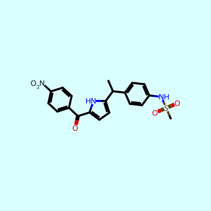 CC(c1ccc(NS(C)(=O)=O)cc1)c1ccc(C(=O)c2ccc([N+](=O)[O-])cc2)[nH]1